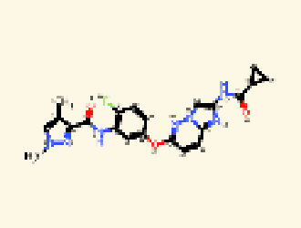 Cc1cn(C)nc1C(=O)Nc1cc(Oc2ccc3nc(NC(=O)C4CC4)cn3n2)ccc1F